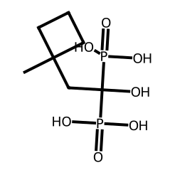 CC1(CC(O)(P(=O)(O)O)P(=O)(O)O)CCC1